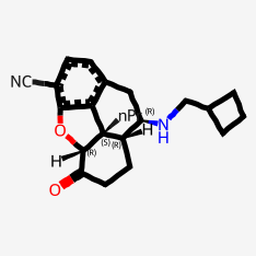 CCC[C@]12c3c4ccc(C#N)c3O[C@H]1C(=O)CC[C@H]2[C@H](NCC1CCC1)C4